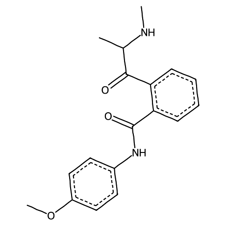 CNC(C)C(=O)c1ccccc1C(=O)Nc1ccc(OC)cc1